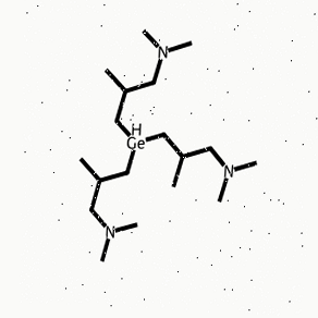 CC(CN(C)C)[CH2][GeH]([CH2]C(C)CN(C)C)[CH2]C(C)CN(C)C